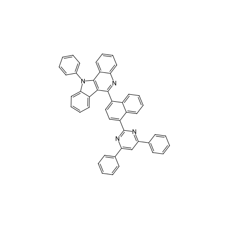 c1ccc(-c2cc(-c3ccccc3)nc(-c3ccc(-c4nc5ccccc5c5c4c4ccccc4n5-c4ccccc4)c4ccccc34)n2)cc1